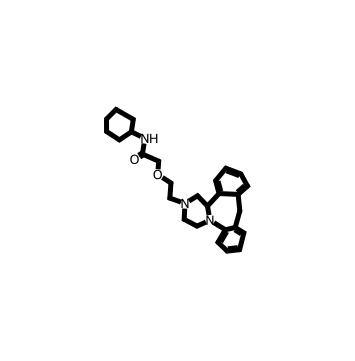 O=C(COCCN1CCN2c3ccccc3Cc3ccccc3C2C1)NC1CCCCC1